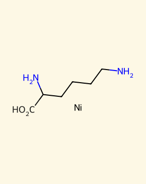 NCCCCC(N)C(=O)O.[Ni]